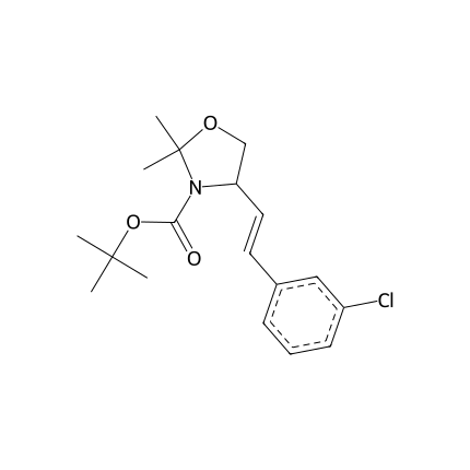 CC(C)(C)OC(=O)N1C(C=Cc2cccc(Cl)c2)COC1(C)C